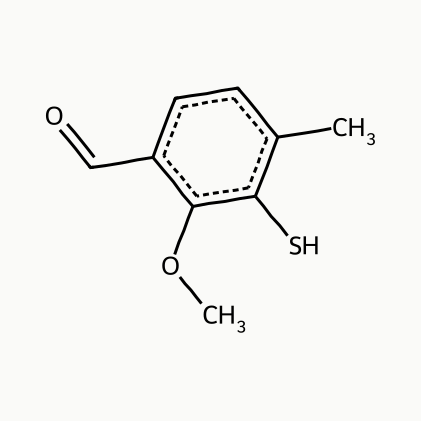 COc1c(C=O)ccc(C)c1S